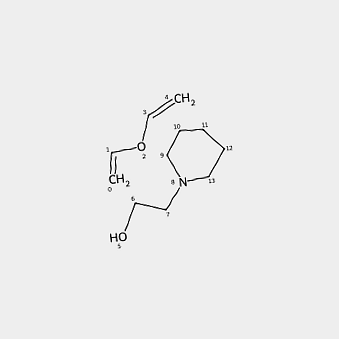 C=COC=C.OCCN1CCCCC1